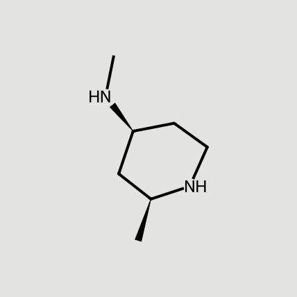 CN[C@H]1CCN[C@@H](C)C1